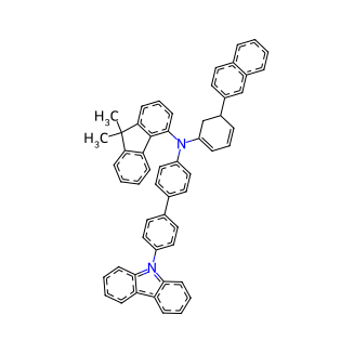 CC1(C)c2ccccc2-c2c(N(C3=CC=CC(c4ccc5ccccc5c4)C3)c3ccc(-c4ccc(-n5c6ccccc6c6ccccc65)cc4)cc3)cccc21